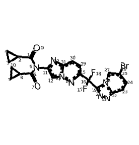 O=C(C1CC1)N(C(=O)C1CC1)c1cn2nc(C(F)(F)c3nnc4ccc(Br)cn34)ccc2n1